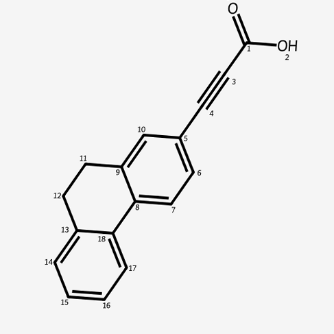 O=C(O)C#Cc1ccc2c(c1)CCc1ccccc1-2